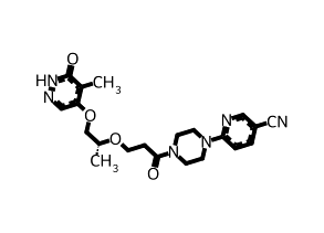 Cc1c(OC[C@@H](C)OCCC(=O)N2CCN(c3ccc(C#N)cn3)CC2)cn[nH]c1=O